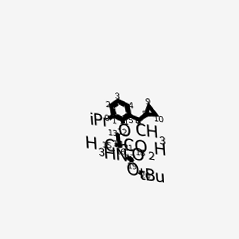 CC(C)c1cccc([C@H](C)C2CC2)c1OC[C@](C)(NC(=O)OC(C)(C)C)C(=O)O